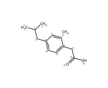 C.CC(C)Cc1ccc(CC(=O)O)cc1